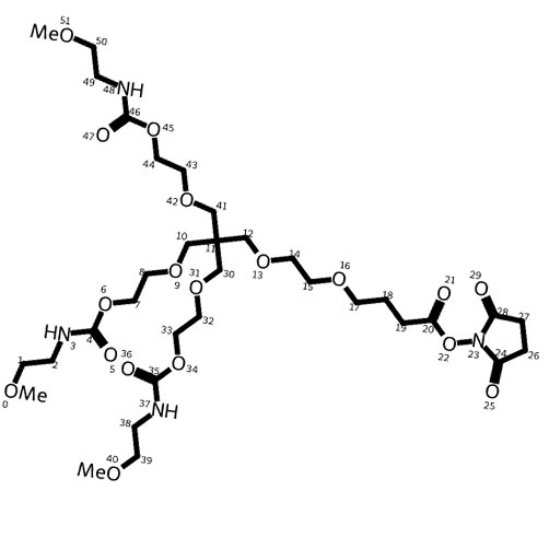 COCCNC(=O)OCCOCC(COCCOCCCC(=O)ON1C(=O)CCC1=O)(COCCOC(=O)NCCOC)COCCOC(=O)NCCOC